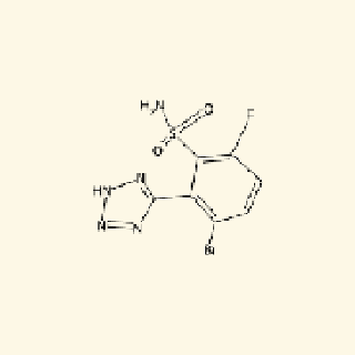 NS(=O)(=O)c1c(F)ccc(Br)c1-c1nn[nH]n1